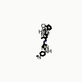 Cc1nc(NS(=O)(=O)c2ccccc2Cl)c(F)cc1/C=C/c1cnc(N[C@H]2CC[C@H](N(C)C)CC2)nc1